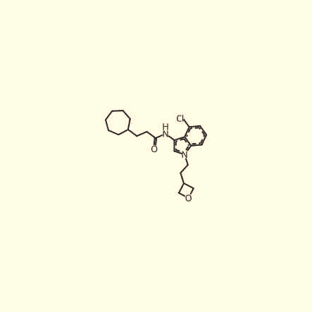 O=C(CCC1CCCCCC1)Nc1cn(CCC2COC2)c2cccc(Cl)c12